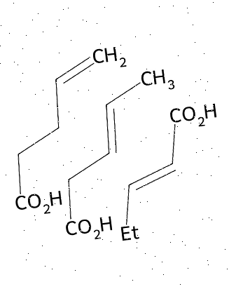 C=CCCC(=O)O.CC=CCC(=O)O.CCC=CC(=O)O